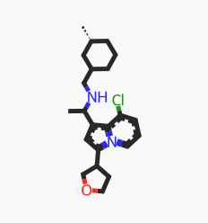 CC(NCC1CCC[C@@H](C)C1)c1cc(C2CCOC2)n2cccc(Cl)c12